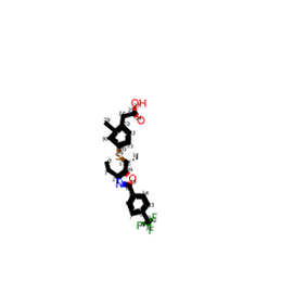 CCc1nc(-c2ccc(C(F)(F)F)cc2)oc1[C@@H](C)Sc1ccc(CC(=O)O)c(C)c1